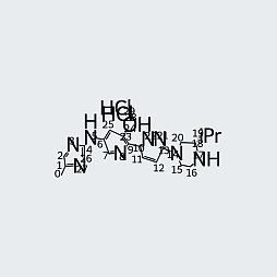 Cc1cnc(Nc2cnc(-c3ccc(N4CCN[C@@H](C(C)C)C4)nn3)c(O)c2)cn1.Cl.Cl